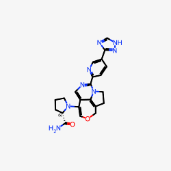 NC(=O)[C@@H]1CCCN1C1=COCC2=C3C1=CN=C(c1ccc(-c4nc[nH]n4)cn1)N3CC2